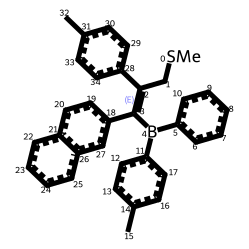 CSC/C(=C(\B(c1ccccc1)c1ccc(C)cc1)c1ccc2ccccc2c1)c1ccc(C)cc1